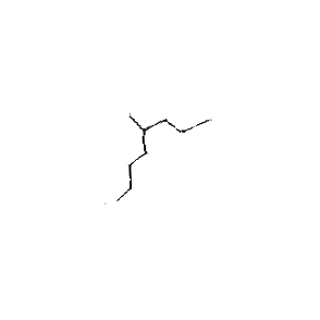 CCCCCCCC(C)CCCC(=O)O